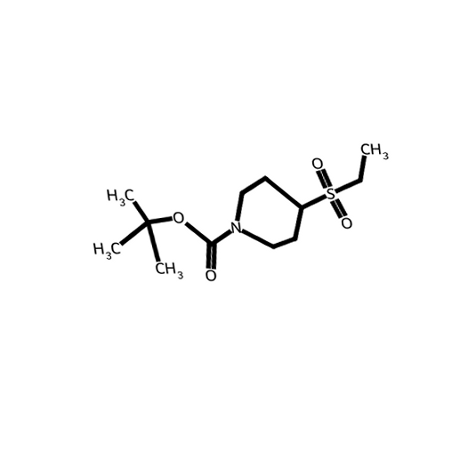 CCS(=O)(=O)C1CCN(C(=O)OC(C)(C)C)CC1